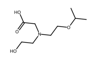 CC(C)OCCN(CCO)CC(=O)O